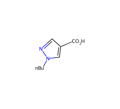 CCCCn1cc(C(=O)O)cn1